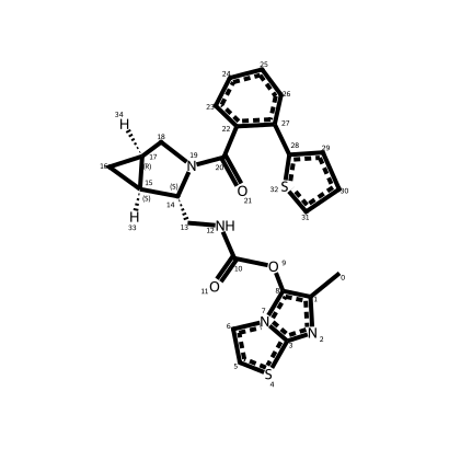 Cc1nc2sccn2c1OC(=O)NC[C@@H]1[C@H]2C[C@H]2CN1C(=O)c1ccccc1-c1cccs1